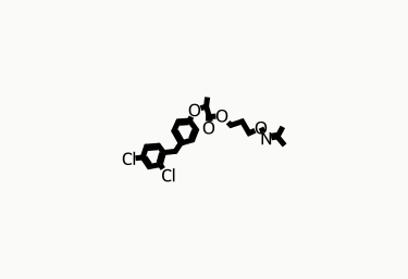 CC(C)=NOCCCOC(=O)C(C)Oc1ccc(Cc2ccc(Cl)cc2Cl)cc1